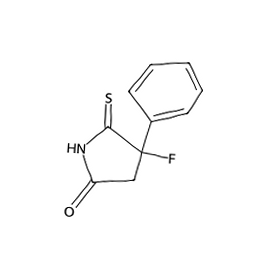 O=C1CC(F)(c2ccccc2)C(=S)N1